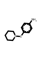 Nc1ccc(SN2CCCCC2)cc1